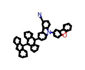 N#Cc1ccc2c(c1)c1cc(-c3c4ccccc4c(-c4c5ccccc5cc5ccccc45)c4ccccc34)ccc1n2-c1ccc2oc3ccccc3c2c1